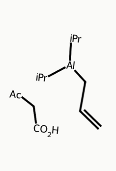 C=C[CH2][Al]([CH](C)C)[CH](C)C.CC(=O)CC(=O)O